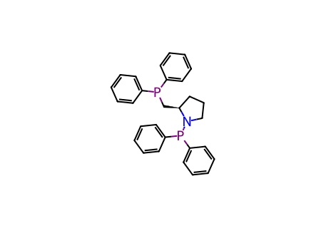 c1ccc(P(C[C@H]2CCCN2P(c2ccccc2)c2ccccc2)c2ccccc2)cc1